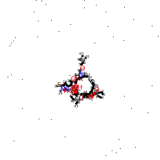 CC[Si](CC)(CC)O[C@H]1[C@@H](C)CCC[C@]2(C)[C@H](C[C@@H](C(C)(O)C(c3cc(SC)n(C)n3)P(=O)(O)O)OC(=O)C[C@H](O[Si](CC)(CC)CC)C(C)(C)C(=O)[C@@H]1C)N2COCC[Si](C)(C)C